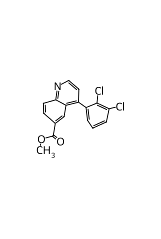 COC(=O)c1ccc2nccc(-c3cccc(Cl)c3Cl)c2c1